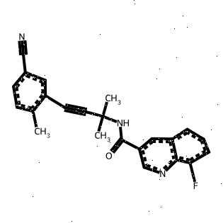 Cc1ccc(C#N)cc1C#CC(C)(C)NC(=O)c1cnc2c(F)cccc2c1